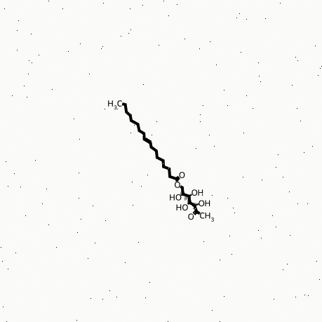 CCCCCCCCC=CCCCCCCCC(=O)OC[C@@H](O)[C@@H](O)[C@H](O)[C@@H](O)C(C)=O